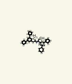 C=C/C(=C\[C@H](C)Cc1cc(-c2ccccc2)cc(-c2ccccc2)c1)c1nc(-c2ccccc2)nc(C2C=CC=CC2)n1